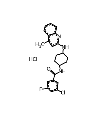 Cc1cc(NC2CCC(NC(=O)c3cc(F)cc(Cl)c3)CC2)nc2ccccc12.Cl